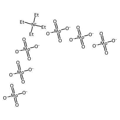 CC[N+](CC)(CC)CC.[O]=[Mo](=[O])([O-])[O-].[O]=[Mo](=[O])([O-])[O-].[O]=[Mo](=[O])([O-])[O-].[O]=[Mo](=[O])([O-])[O-].[O]=[Mo](=[O])([O-])[O-].[O]=[Mo](=[O])([O-])[O-]